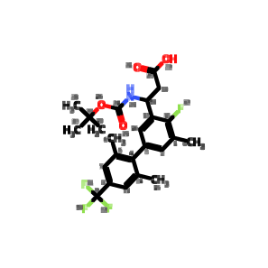 Cc1cc(-c2c(C)cc(C(F)(F)F)cc2C)cc(C(CC(=O)O)NC(=O)OC(C)(C)C)c1F